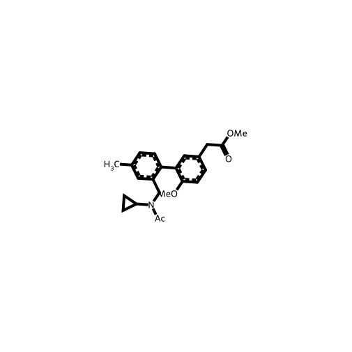 COC(=O)Cc1ccc(OC)c(-c2ccc(C)cc2CN(C(C)=O)C2CC2)c1